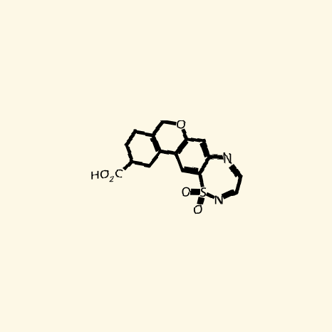 O=C(O)C1CCC2=C(C1)c1cc3c(cc1OC2)N=CC=NS3(=O)=O